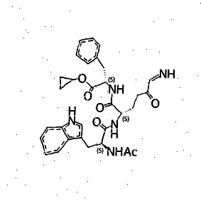 CC(=O)N[C@@H](Cc1c[nH]c2ccccc12)C(=O)N[C@@H](CCC(=O)C=N)C(=O)N[C@@H](Cc1ccccc1)C(=O)OC1CC1